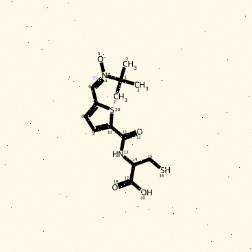 CC(C)(C)/[N+]([O-])=C\c1ccc(C(=O)NC(CS)C(=O)O)s1